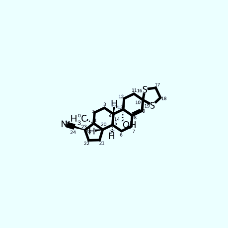 C[C@]12CC[C@H]3[C@@H](CCC4=CC5(CC[C@@]43CO)SCCS5)[C@@H]1CC[C@H]2C#N